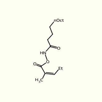 CCC=C(C)C(=O)ONC(=O)CCCCCCCCCCC